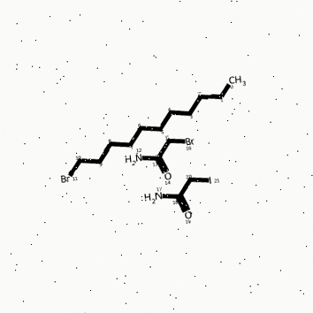 CCCCCCCCCCCBr.NC(=O)CBr.NC(=O)CI